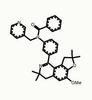 COc1cc2c(c3c1OC(C)(C)C3)C(c1cccc(N(Cc3cccnc3)C(=O)c3ccccc3)c1)=NC(C)(C)C2